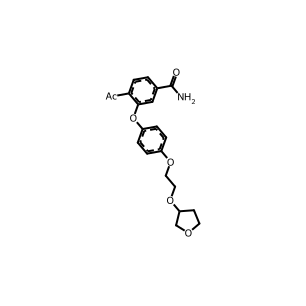 CC(=O)c1ccc(C(N)=O)cc1Oc1ccc(OCCOC2CCOC2)cc1